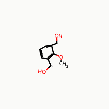 COc1c([CH]O)cccc1CO